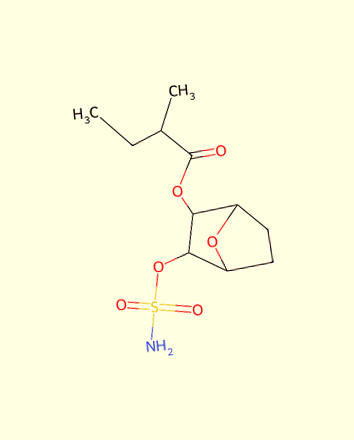 CCC(C)C(=O)OC1C2CCC(O2)C1OS(N)(=O)=O